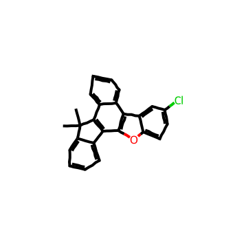 CC1(C)c2ccccc2-c2c1c1ccccc1c1c2oc2ccc(Cl)cc21